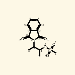 CC(OS(C)(=O)=O)C(C)N1C(=O)c2ccccc2C1=O